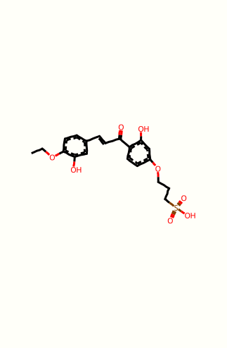 CCOc1ccc(C=CC(=O)c2ccc(OCCCS(=O)(=O)O)cc2O)cc1O